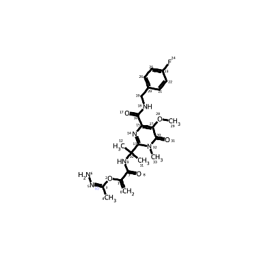 C=C(O/C(C)=N\N)C(=O)NC(C)(C)c1nc(C(=O)NCc2ccc(F)cc2)c(OC)c(=O)n1C